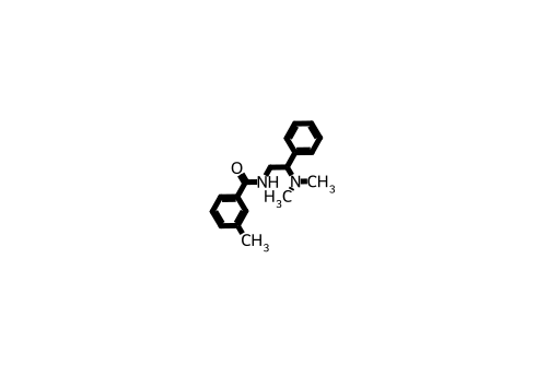 Cc1cccc(C(=O)NCC(c2ccccc2)N(C)C)c1